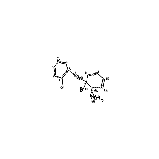 Cc1ccncc1C#CC1(Br)C=CC=CC1N